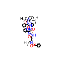 C[C@@H](C(=O)N[C@H](C(=O)N1CCC[C@H]1C(=O)Nc1sc(NC(=O)CCCN(C)C(=O)OCc2ccccc2)nc1-c1ccccc1)C1CCCCC1)N(C)C(=O)O